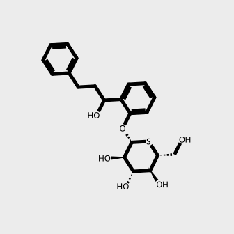 OC[C@H]1S[C@@H](Oc2ccccc2C(O)CCc2ccccc2)[C@H](O)[C@@H](O)[C@@H]1O